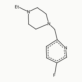 CCN1CCN(Cc2ccc(F)cn2)CC1